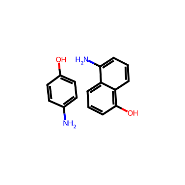 Nc1ccc(O)cc1.Nc1cccc2c(O)cccc12